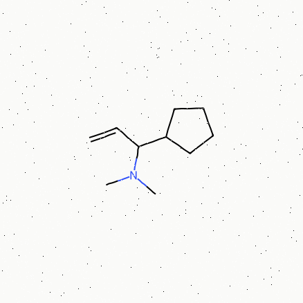 C=CC(C1CCCC1)N(C)C